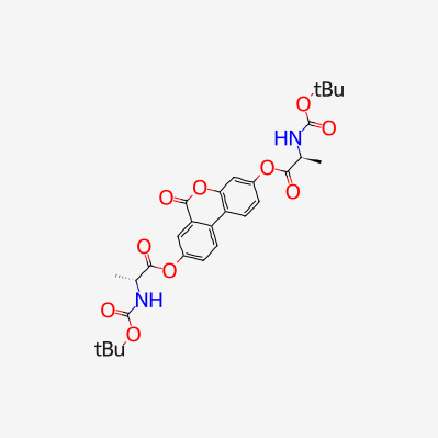 C[C@H](NC(=O)OC(C)(C)C)C(=O)Oc1ccc2c(c1)oc(=O)c1cc(OC(=O)[C@@H](C)NC(=O)OC(C)(C)C)ccc12